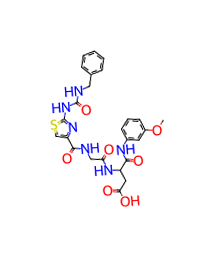 COc1cccc(NC(=O)C(CC(=O)O)NC(=O)CNC(=O)c2csc(NC(=O)NCc3ccccc3)n2)c1